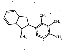 Cc1ccc(C2[C]C3C=CC=CC3C2C)c(C)c1C